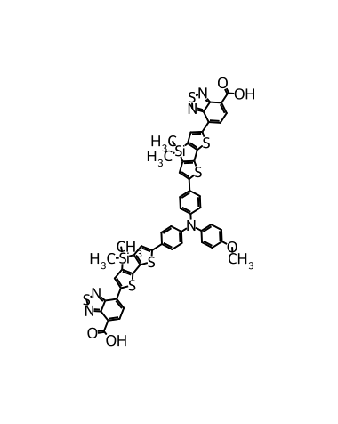 COc1ccc(N(c2ccc(-c3cc4c(s3)-c3sc(-c5ccc(C(=O)O)c6nsnc56)cc3[Si]4(C)C)cc2)c2ccc(-c3cc4c(s3)-c3sc(-c5ccc(C(=O)O)c6nsnc56)cc3[Si]4(C)C)cc2)cc1